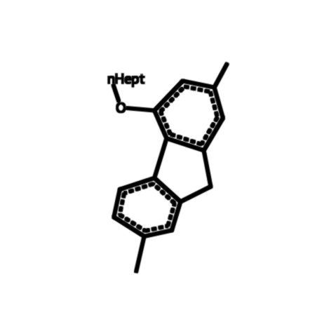 CCCCCCCOc1cc(C)cc2c1-c1ccc(C)cc1C2